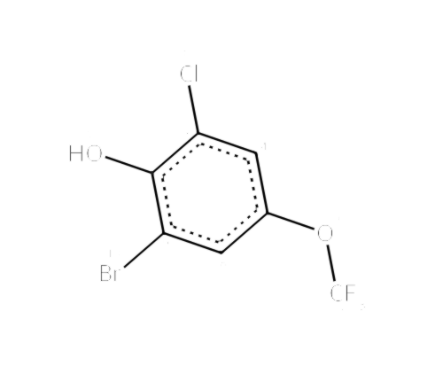 Oc1c(Cl)cc(OC(F)(F)F)cc1Br